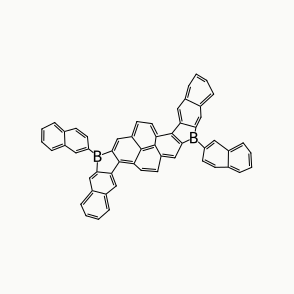 c1ccc2cc(B3c4cc5ccccc5cc4-c4c3cc3ccc5c6c(cc7ccc4c3c75)B(c3ccc4ccccc4c3)c3cc4ccccc4cc3-6)ccc2c1